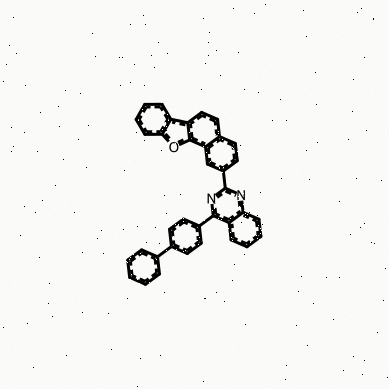 c1ccc(-c2ccc(-c3nc(-c4ccc5ccc6c7ccccc7oc6c5c4)nc4ccccc34)cc2)cc1